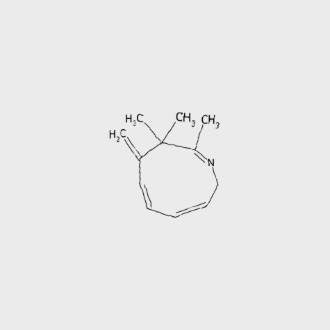 C=C1/C=C\C=C/C/N=C(/C)C1(C)C